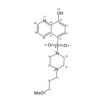 COCCCN1CCN(S(=O)(=O)c2ccc(O)c3ncccc23)CC1